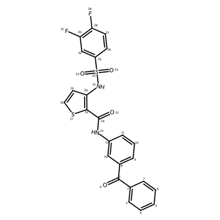 O=C(c1ccccc1)c1cccc(NC(=O)c2sccc2NS(=O)(=O)c2ccc(F)c(F)c2)c1